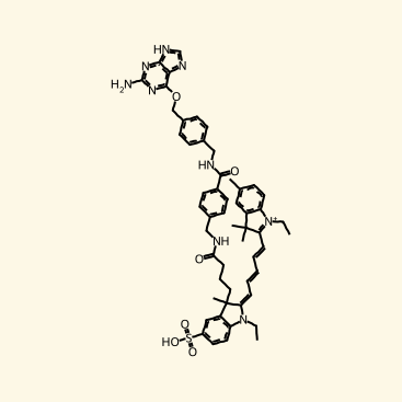 CCN1/C(=C/C=C/C=C/C2=[N+](CC)c3ccc(C)cc3C2(C)C)C(C)(CCCC(=O)NCc2ccc(C(=O)NCc3ccc(COc4nc(N)nc5[nH]cnc45)cc3)cc2)c2cc(S(=O)(=O)O)ccc21